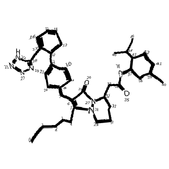 CCCCCc1c(Cc2ccc(-c3ccccc3-c3nnn[nH]3)cc2)c(=O)n2n1CCCC2CC(=O)OC1CC(C)CCC1C(C)C